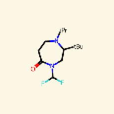 CC(C)N1CCC(=O)N(C(F)F)CC1C(C)(C)C